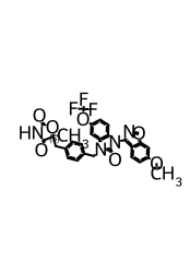 COc1ccc2c(-n3c(=O)n(Cc4ccc(C[C@]5(C)OC(=O)NC5=O)cc4)c4cc(OC(F)(F)F)ccc43)noc2c1